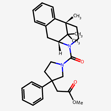 COC(=O)CC1(c2ccccc2)CCN(C(=O)N2CC[C@@]3(C)c4ccccc4C[C@@H]2C3(C)C)C1